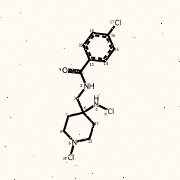 O=C(NCC1(NCl)CCN(Cl)CC1)c1ccc(Cl)cc1